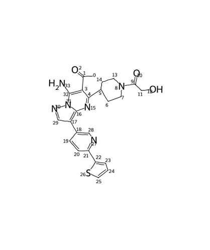 CC(=O)c1c(C2CCN(C(=O)CO)CC2)nc2c(-c3ccc(-c4cccs4)nc3)cnn2c1N